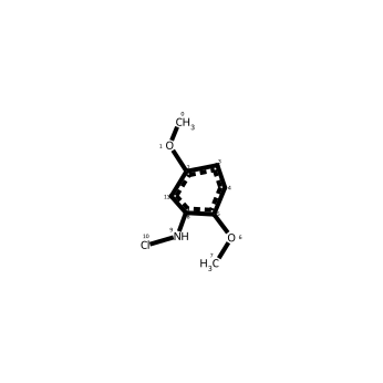 COc1ccc(OC)c(NCl)c1